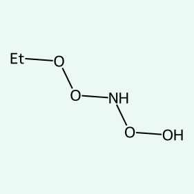 CCOONOO